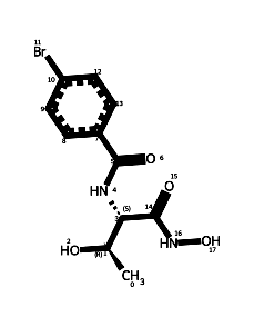 C[C@@H](O)[C@H](NC(=O)c1ccc(Br)cc1)C(=O)NO